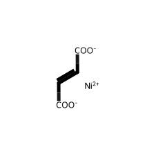 O=C([O-])/C=C/C(=O)[O-].[Ni+2]